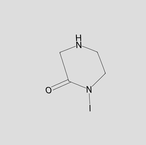 O=C1CNCCN1I